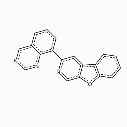 c1cc(-c2cc3c(cn2)oc2ccccc23)c2ncncc2c1